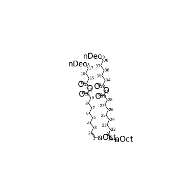 CCCCCCCC/C=C\CCCCCCCC(=O)OC(=O)CCCCCCCCCCCCC.CCCCCCCC/C=C\CCCCCCCC(=O)OC(=O)CCCCCCCCCCCCCCC